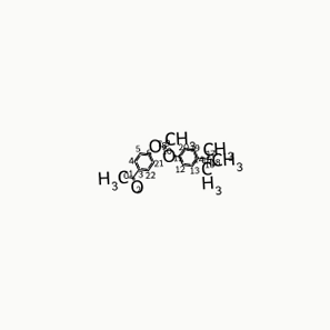 CC(=O)c1ccc(OC(C)Oc2ccc(C(C)(C)C)cc2)cc1